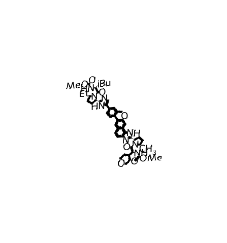 CC[C@H]1CC[C@@H](c2ncc(-c3ccc4c(c3)COc3cc5c(ccc6nc([C@@H]7CC[C@H](C)N7C(=O)[C@@H](NC(=O)OC)C7CCOCC7)[nH]c65)cc3-4)[nH]2)N1C(=O)[C@@H](NC(=O)OC)[C@@H](C)CC